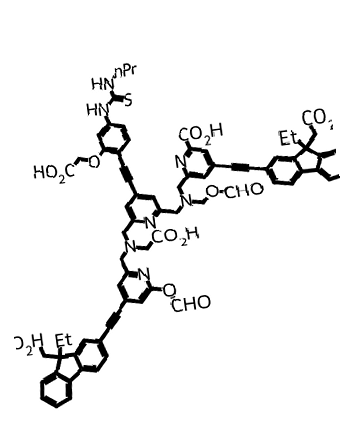 CCCNC(=S)Nc1ccc(C#Cc2cc(CN(CC(=O)O)Cc3cc(C#Cc4ccc5c(c4)C(CC)(CC(=O)O)c4ccccc4-5)cc(OC=O)n3)nc(CN(COC=O)Cc3cc(C#Cc4ccc5c(c4)C(CC)(CC(=O)O)c4ccccc4-5)cc(C(=O)O)n3)c2)c(OCC(=O)O)c1